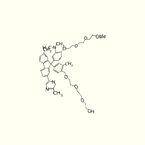 COCCOCCOCCOc1ccc(C2(c3ccc(COCCOCCOCCO)c(C)c3)c3cc(C)ccc3-c3ccc(-c4cnc(C)cn4)cc32)cc1N(C)C